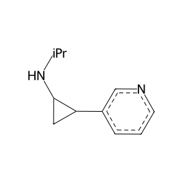 CC(C)NC1CC1c1cccnc1